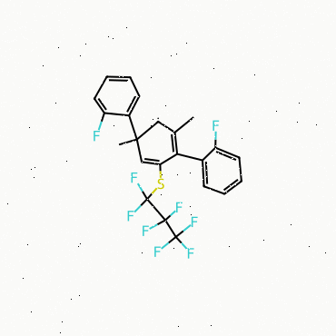 CC1=C(c2ccccc2F)C(SC(F)(F)C(F)(F)C(F)(F)F)=CC(C)(c2ccccc2F)[CH]1